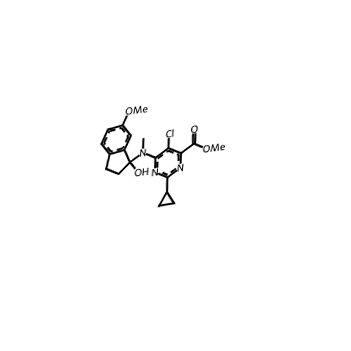 COC(=O)c1nc(C2CC2)nc(N(C)C2(O)CCc3ccc(OC)cc32)c1Cl